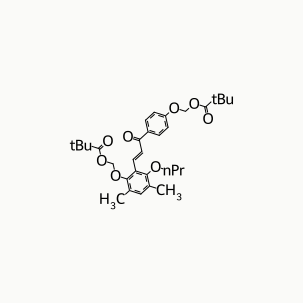 CCCOc1c(C)cc(C)c(OCOC(=O)C(C)(C)C)c1C=CC(=O)c1ccc(OCOC(=O)C(C)(C)C)cc1